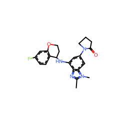 Cc1nc2c(NC3CCOc4cc(F)ccc43)cc(N3CCCC3=O)cc2n1C